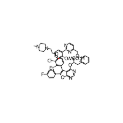 CCc1c(-c2c(-c3ccc(F)cc3)oc3ncnc(O[C@H](Cc4ccccc4OCc4ccnc(-c5ccccc5OC)n4)C(=O)O)c23)ccc(OCCN2CCN(C)CC2)c1Cl